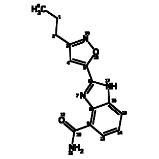 CCCc1cc(-c2nc3c(C(N)=O)cccc3[nH]2)on1